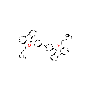 CCCCOC1(c2ccc(-c3ccc(C4(OCCCC)c5ccccc5-c5ccccc54)cc3)cc2)c2ccccc2-c2ccccc21